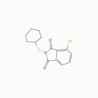 O=C1c2cccc(S)c2C(=O)N1SC1CCCCC1